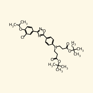 CC(C)Oc1ccc(-c2noc(-c3ccc(N(CCC(=O)OC(C)(C)C)CCC(=O)OC(C)(C)C)cc3)n2)cc1Cl